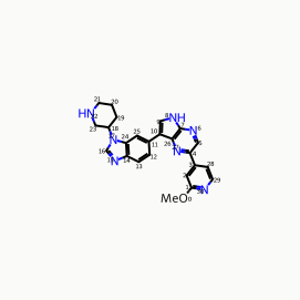 COc1cc(-c2cnc3[nH]cc(-c4ccc5ncn(C6CCCNC6)c5c4)c3n2)ccn1